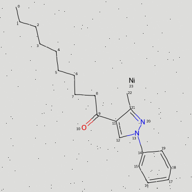 CCCCCCCCCC(=O)c1cn(-c2ccccc2)nc1C.[Ni]